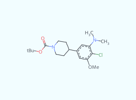 COc1cc(C2CCN(C(=O)OC(C)(C)C)CC2)cc(N(C)C)c1Cl